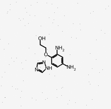 Nc1ccc(OCCO)c(N)c1.c1nc[nH]n1